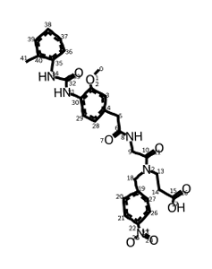 COc1cc(CC(=O)NCC(=O)N(CCC(=O)O)Cc2ccc([N+](=O)[O-])cc2)ccc1NC(=O)Nc1ccccc1C